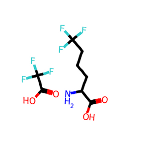 NC(CCCC(F)(F)F)C(=O)O.O=C(O)C(F)(F)F